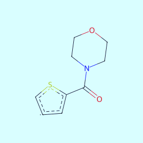 O=C(c1c[c]cs1)N1CCOCC1